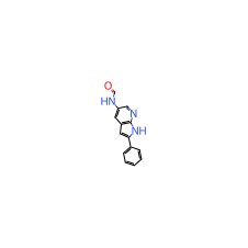 O=CNc1cnc2[nH]c(-c3ccccc3)cc2c1